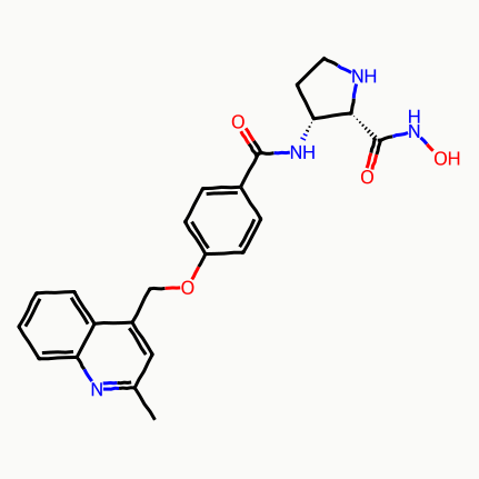 Cc1cc(COc2ccc(C(=O)N[C@@H]3CCN[C@@H]3C(=O)NO)cc2)c2ccccc2n1